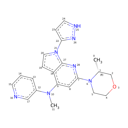 C[C@@H]1COCCN1c1cc(N(C)c2cccnc2)c2ccn(-c3cc[nH]n3)c2n1